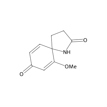 COC1=CC(=O)C=CC12CCC(=O)N2